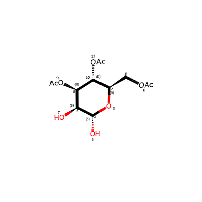 CC(=O)OC[C@H]1O[C@H](O)[C@@H](O)[C@@H](OC(C)=O)[C@@H]1OC(C)=O